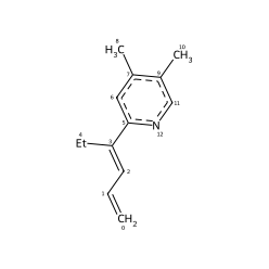 C=C/C=C(\CC)c1cc(C)c(C)cn1